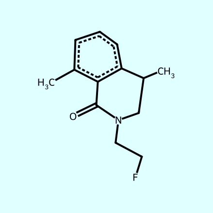 Cc1cccc2c1C(=O)N(CCF)CC2C